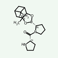 CC12CC3CC(C1OB([C@@H]1CCCN1C(=O)[C@@H]1CCCN1)O2)C3(C)C